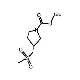 CC(C)(C)OC(=O)N1CC[C@@H](CS(C)(=O)=O)C1